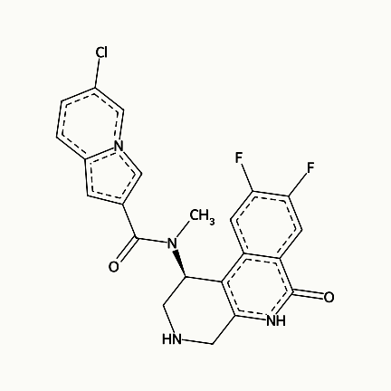 CN(C(=O)c1cc2ccc(Cl)cn2c1)[C@@H]1CNCc2[nH]c(=O)c3cc(F)c(F)cc3c21